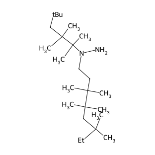 CCC(C)(C)CC(C)(C)C(C)(C)CCN(N)C(C)(C)C(C)(C)CC(C)(C)C